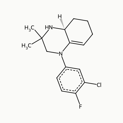 CC1(C)CN(c2ccc(F)c(Cl)c2)C2=CCCC[C@@H]2N1